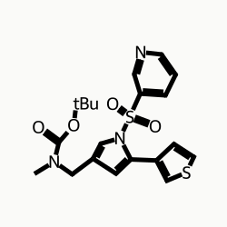 CN(Cc1cc(-c2ccsc2)n(S(=O)(=O)c2cccnc2)c1)C(=O)OC(C)(C)C